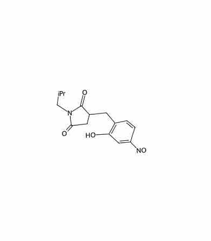 CC(C)CN1C(=O)CC(Cc2ccc(N=O)cc2O)C1=O